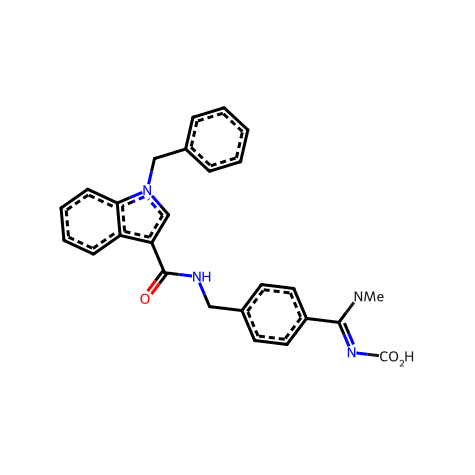 CN/C(=N\C(=O)O)c1ccc(CNC(=O)c2cn(Cc3ccccc3)c3ccccc23)cc1